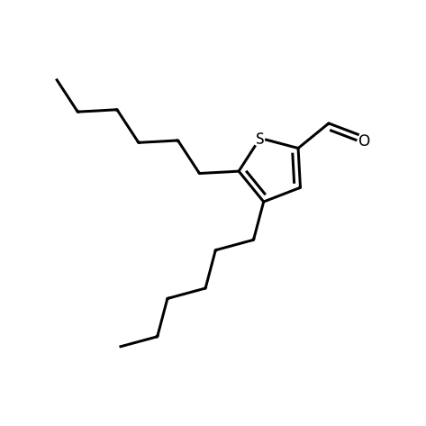 CCCCCCc1cc(C=O)sc1CCCCCC